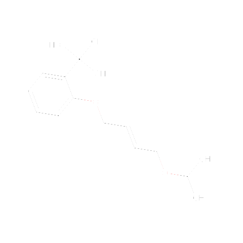 CC(C)OC/C=C/COc1ccccc1C(C)(C)C